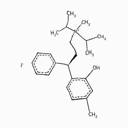 Cc1ccc([C@H](CC[N+](C)(C(C)C)C(C)C)c2ccccc2)c(O)c1.[I-]